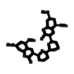 COc1cc(OC)c2cc(-c3cccc(-c4cccc(-c5cc6c(OC)cc(OC)cc6oc5=O)n4)n3)c(=O)oc2c1